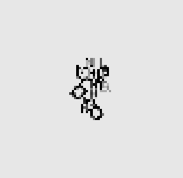 CCC(Nc1nc(N)ncc1-c1cccc(-c2nc3ccccc3s2)c1)N1CC=CC1